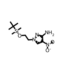 CC(C)(C)[Si](C)(C)OCCn1cc([N+](=O)[O-])c(N)n1